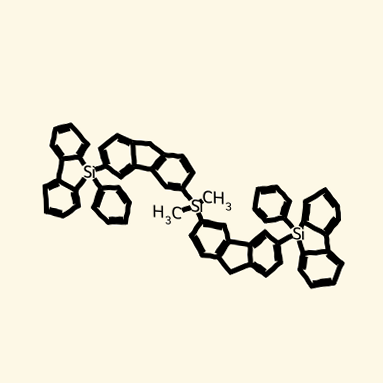 C[Si](C)(c1ccc2c(c1)-c1cc([Si]3(c4ccccc4)c4ccccc4-c4ccccc43)ccc1C2)c1ccc2c(c1)-c1cc([Si]3(c4ccccc4)c4ccccc4-c4ccccc43)ccc1C2